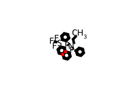 CCCCN(P(c1ccccc1)c1ccccc1)P(c1ccccc1)c1ccccc1SC(F)(F)F